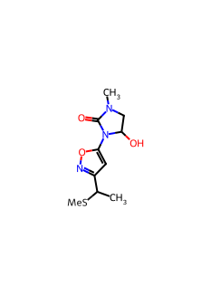 CSC(C)c1cc(N2C(=O)N(C)CC2O)on1